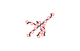 C=COC(C(COCCOCC1CO1)OCCOCC1CO1)C(OCCOCC1CO1)C(COCCOCC1CO1)OCCOCC1CO1